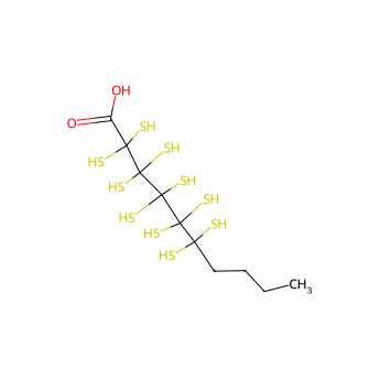 CCCCC(S)(S)C(S)(S)C(S)(S)C(S)(S)C(S)(S)C(=O)O